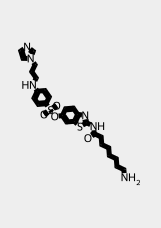 NCCCCCCCC(=O)Nc1nc2ccc(OS(=O)(=O)c3ccc(NCCCn4ccnc4)cc3)cc2s1